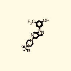 CS(=O)(=O)N1CCN(c2cc3cnn(-c4cc(O)cc(C(F)(F)F)c4)c3cn2)CC1